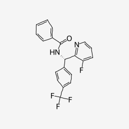 O=C(N[C@@H](c1ccc(C(F)(F)F)cc1)c1ncccc1F)c1ccccc1